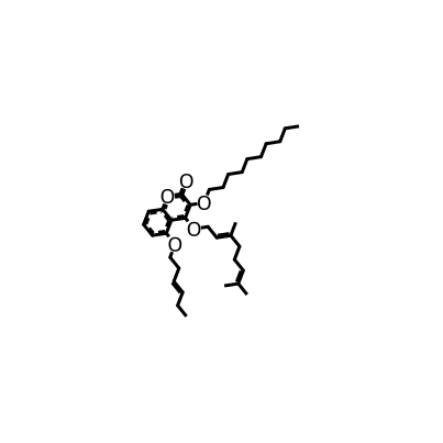 CC/C=C/CCOc1cccc2oc(=O)c(OCCCCCCCCCC)c(OC/C=C(\C)CCC=C(C)C)c12